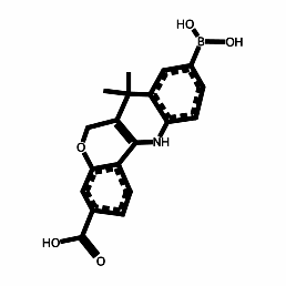 CC1(C)C2=C(Nc3ccc(B(O)O)cc31)c1ccc(C(=O)O)cc1OC2